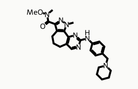 CON(C)C(=O)c1nn(C)c2c1CCCc1cnc(Nc3ccc(CN4CCCCC4)cc3)nc1-2